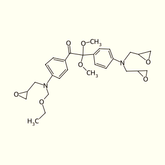 CCOCN(CC1CO1)c1ccc(C(=O)C(OC)(OC)c2ccc(N(CC3CO3)CC3CO3)cc2)cc1